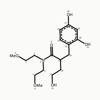 COCCN(CCOC)C(=O)C(CCO)Cc1ccc(O)cc1O